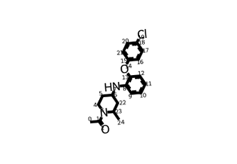 CC(=O)N1CCC(Nc2ccccc2Oc2ccc(Cl)cc2)CC1C